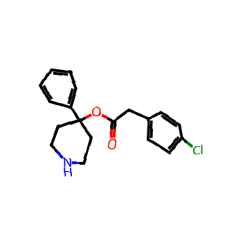 O=C(Cc1ccc(Cl)cc1)OC1(c2ccccc2)CCNCC1